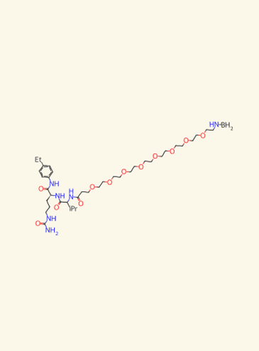 BNCCOCCOCCOCCOCCOCCOCCOCCOCCC(=O)NC(C(=O)N[C@@H](CCCNC(N)=O)C(=O)Nc1ccc(CC)cc1)C(C)C